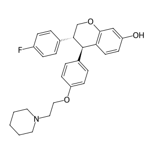 Oc1ccc2c(c1)OC[C@@H](c1ccc(F)cc1)[C@@H]2c1ccc(OCCN2CCCCC2)cc1